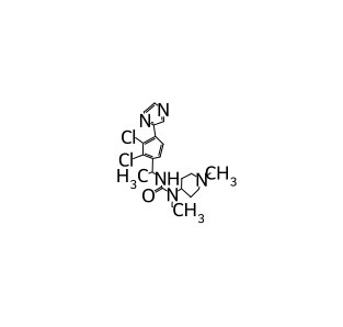 CCN(C(=O)NC(C)c1ccc(-c2cnccn2)c(Cl)c1Cl)C1CCN(C)CC1